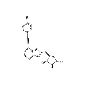 CC(C)c1ccc(C#Cc2cncc3cc(C=C4SC(=O)NC4=O)oc23)cc1